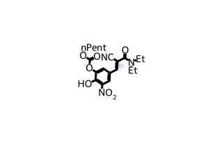 CCCCCOC(=O)Oc1cc(/C=C(\C#N)C(=O)N(CC)CC)cc([N+](=O)[O-])c1O